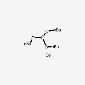 CCCCOP(OCCCC)OCCCC.[Co]